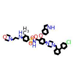 Cc1cc(S(=O)(=O)NC(=O)c2ccc(N3CCN(Cc4ccccc4-c4ccc(Cl)cc4)CC3)cc2Oc2ccc3[nH]ccc3c2)ccc1NCCCN1CCOCC1